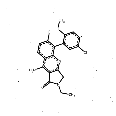 CCN1Cc2nc3c(-c4cc(Cl)ccc4OC)c(F)ccc3c(N)c2C1=O